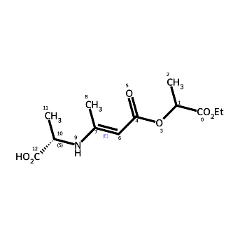 CCOC(=O)C(C)OC(=O)/C=C(\C)N[C@@H](C)C(=O)O